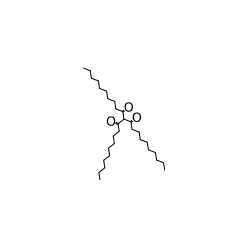 CCCCCCCCCC(=O)C(C(=O)CCCCCCCCC)C(=O)CCCCCCCCC